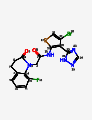 O=C(CN1C(=O)CCc2cccc(F)c21)Nc1scc(Br)c1-c1ncn[nH]1